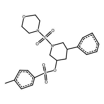 Cc1ccc(S(=O)(=O)OC2CC(c3ccccc3)CN(S(=O)(=O)N3CCOCC3)C2)cc1